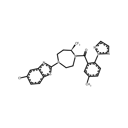 Cc1ccc(-n2nccn2)c(C(=O)N2CCN(c3nc4cc(Cl)ccc4s3)CC[C@H]2C(F)(F)F)c1